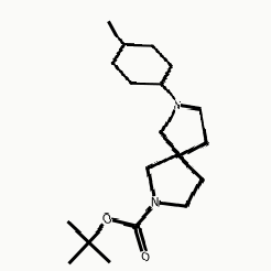 CC1CCC(N2CCC3(CCN(C(=O)OC(C)(C)C)C3)C2)CC1